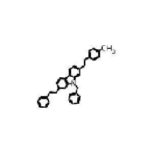 Cc1ccc(/C=C/c2ccc3c4ccc(/C=C/c5ccccc5)cc4n(Cc4ccccc4)c3c2)cc1